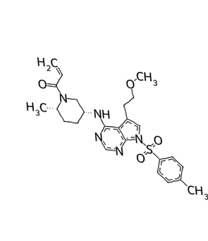 C=CC(=O)N1C[C@H](Nc2ncnc3c2c(CCOC)cn3S(=O)(=O)c2ccc(C)cc2)CC[C@@H]1C